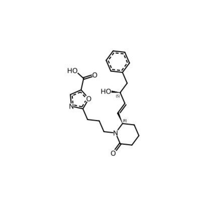 O=C(O)c1cnc(CCCN2C(=O)CCC[C@@H]2C=C[C@@H](O)Cc2ccccc2)o1